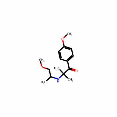 COCC(C)NC(C)(C)C(=O)c1ccc(OC)cc1